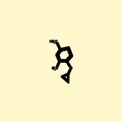 O=C(O)c1ccc(OC2CC2)c([N+](=O)[O-])c1